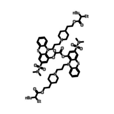 CCCCC(CC)C(=O)OCCC1CCN(CCCN2c3ccccc3Sc3cc(S(=O)(=O)N(C)C)cc(OC(=O)C(=O)Oc4cc(S(=O)(=O)N(C)C)cc5c4N(CCCN4CCC(CCOC(=O)C(CC)CCCC)CC4)c4ccccc4S5)c32)CC1